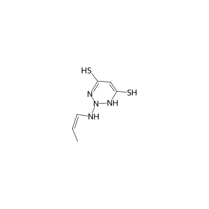 C/C=C\NN1N=C(S)C=C(S)N1